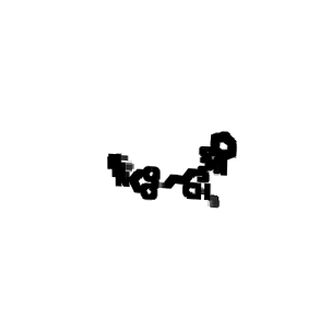 C/C(=C\C[C@H]1OC[C@@H](N=[N+]=[N-])CO1)CSc1nc2ccccc2s1